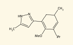 COC1=C(c2cc(C)[nH]n2)CC(C)C=C1C(C)C